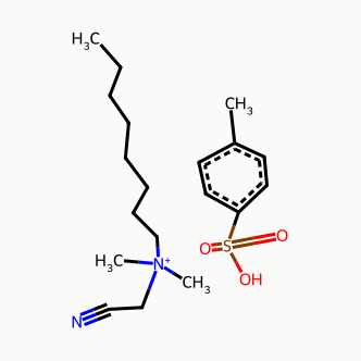 CCCCCCCC[N+](C)(C)CC#N.Cc1ccc(S(=O)(=O)O)cc1